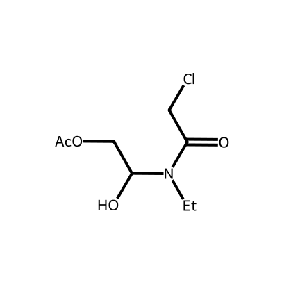 CCN(C(=O)CCl)C(O)COC(C)=O